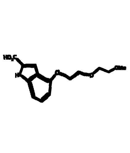 COCCOCCOc1cccc2[nH]c(C(=O)O)cc12